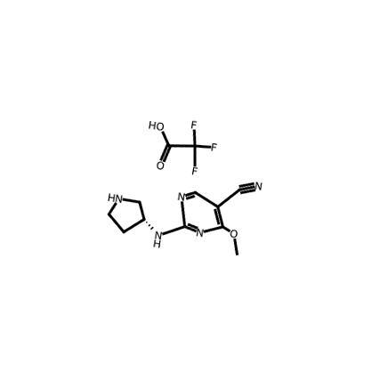 COc1nc(N[C@@H]2CCNC2)ncc1C#N.O=C(O)C(F)(F)F